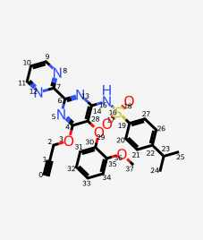 C#CCOc1nc(-c2ncccn2)nc(NS(=O)(=O)c2ccc(C(C)C)cc2)c1Oc1ccccc1OC